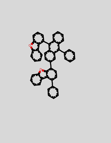 c1ccc(-c2c3ccccc3c(-c3cccc4oc5ccccc5c34)c3ccc(-c4ccc(-c5ccccc5)c5c4oc4ccccc45)cc23)cc1